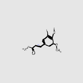 COC(=O)/C=C/c1cc(I)c(OI)c(OC)c1